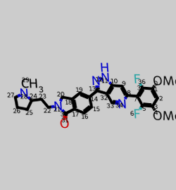 COc1cc(OC)c(F)c(-c2cc3[nH]nc(-c4ccc5c(c4)CN(CCC4CCCN4C)C5=O)c3cn2)c1F